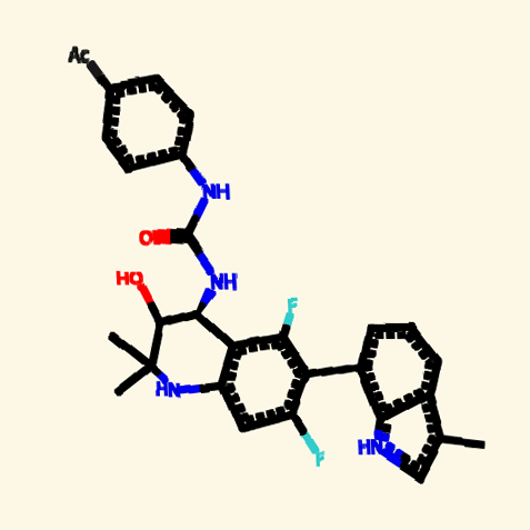 CC(=O)c1ccc(NC(=O)N[C@H]2c3c(cc(F)c(-c4cccc5c(C)c[nH]c45)c3F)NC(C)(C)C2O)cc1